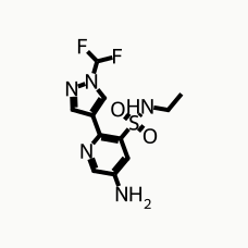 CCNS(=O)(=O)c1cc(N)cnc1-c1cnn(C(F)F)c1